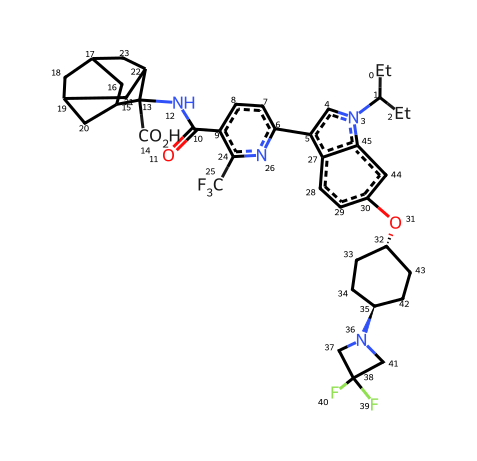 CCC(CC)n1cc(-c2ccc(C(=O)NC3(C(=O)O)C4CC5CC(C4)CC3C5)c(C(F)(F)F)n2)c2ccc(O[C@H]3CC[C@H](N4CC(F)(F)C4)CC3)cc21